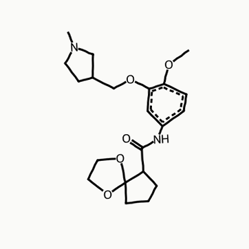 COc1ccc(NC(=O)C2CCCC23OCCO3)cc1OCC1CCN(C)C1